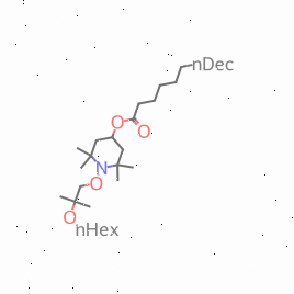 CCCCCCCCCCCCCCCC(=O)OC1CC(C)(C)N(OCC(C)(C)OCCCCCC)C(C)(C)C1